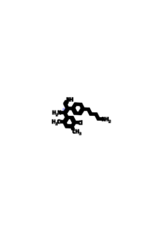 Cc1cc(C)c(/C(N)=C(/C=N)C2=CC=C(CCCCN)CC2)cc1Cl